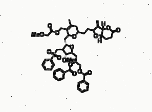 C=C1C(CCC2CC(C)=C(COC(=O)COC)C(C[C@@H]3OC(CC(COC(=O)c4ccccc4)OC(=O)c4ccccc4)[C@H](OC)C3CS(=O)(=O)c3ccccc3)O2)O[C@H]2CCC(=O)O[C@@H]12